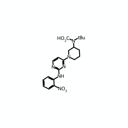 CC(C)(C)N(C(=O)O)C1CCCN(c2ccnc(Nc3ccccc3[N+](=O)[O-])n2)C1